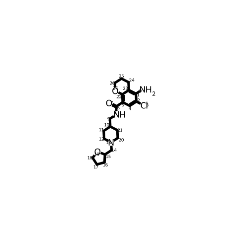 Nc1c(Cl)cc(C(=O)NCC2CCN(CC3CCCO3)CC2)c2c1CCCO2